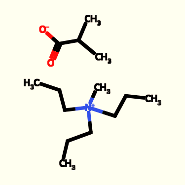 CC(C)C(=O)[O-].CCC[N+](C)(CCC)CCC